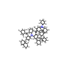 Cc1cc(C)c(B2c3cc(-c4cccc5ccccc45)ccc3N3c4ccc([Si](c5ccccc5)(c5ccccc5)c5ccccc5)cc4B(c4cc5c6ccccc6n(-c6ccccc6)c5cc4C)c4cccc2c43)c(C)c1